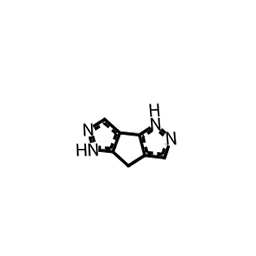 c1n[nH]c2c1Cc1[nH]ncc1-2